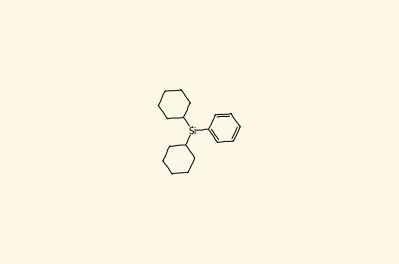 c1ccc([Si](C2CCCCC2)C2CCCCC2)cc1